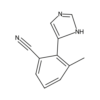 Cc1cccc(C#N)c1-c1cnc[nH]1